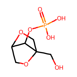 O=P(O)(O)OC1C2COC1(CO)CO2